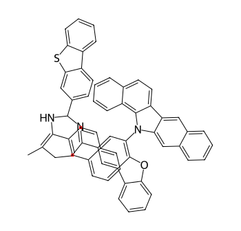 C/C1=C(/c2ccc3ccccc3c2)NC(c2ccc3c(c2)sc2ccccc23)/N=C(/c2cc(-n3c4cc5ccccc5cc4c4ccc5ccccc5c43)c3oc4ccccc4c3c2)CC1